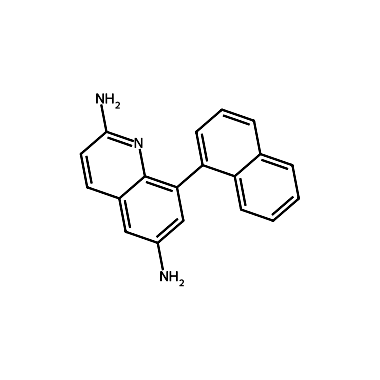 Nc1cc(-c2cccc3ccccc23)c2nc(N)ccc2c1